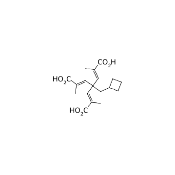 CC(=CC(C=C(C)C(=O)O)(C=C(C)C(=O)O)CC1CCC1)C(=O)O